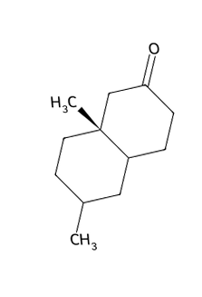 CC1CC[C@]2(C)CC(=O)CCC2C1